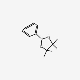 CC1(C)OB(c2cc[c]cc2)OC1(C)C